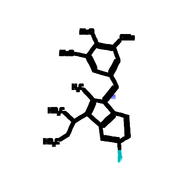 COc1cc(/C=C2\C(C)=C(C(CC(=O)O)C(=O)O)c3cc(F)ccc32)cc(OC)c1OC